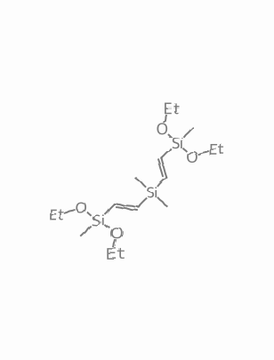 CCO[Si](C)(C=C[Si](C)(C)C=C[Si](C)(OCC)OCC)OCC